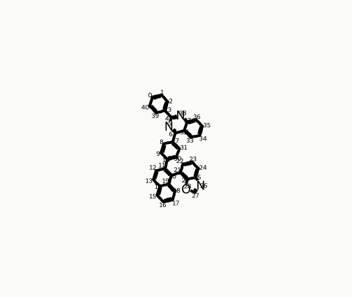 c1ccc(-c2nc(-c3ccc(-c4ccc5ccccc5c4-c4cccc5ncoc45)cc3)c3ccccc3n2)cc1